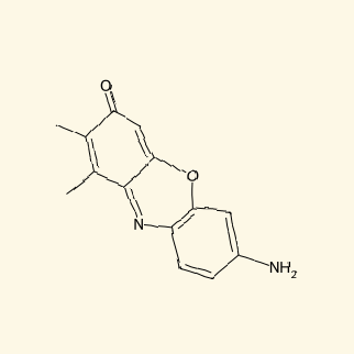 Cc1c2nc3ccc(N)cc3oc-2cc(=O)c1C